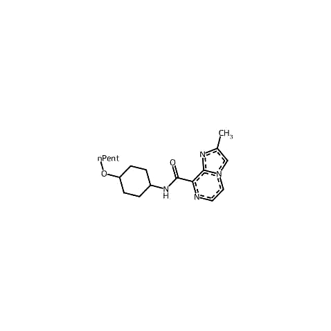 CCCCCOC1CCC(NC(=O)c2nccn3cc(C)nc23)CC1